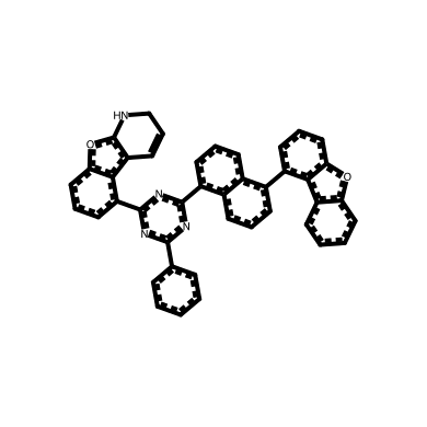 C1=Cc2c(oc3cccc(-c4nc(-c5ccccc5)nc(-c5cccc6c(-c7cccc8oc9ccccc9c78)cccc56)n4)c23)NC1